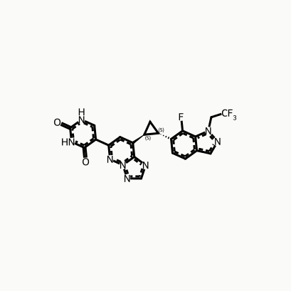 O=c1[nH]cc(-c2cc([C@H]3C[C@@H]3c3ccc4cnn(CC(F)(F)F)c4c3F)c3ncnn3n2)c(=O)[nH]1